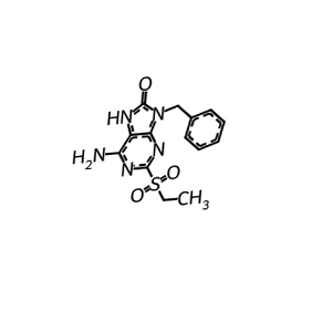 CCS(=O)(=O)c1nc(N)c2[nH]c(=O)n(Cc3ccccc3)c2n1